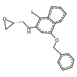 Ic1c(NC[C@@H]2CO2)cc(OCc2ccccc2)c2ccccc12